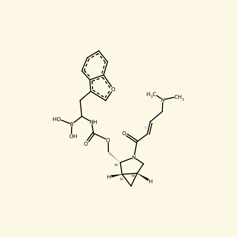 CN(C)C/C=C/C(=O)N1C[C@@H]2C[C@@H]2[C@@H]1COC(=O)NC(Cc1coc2ccccc12)B(O)O